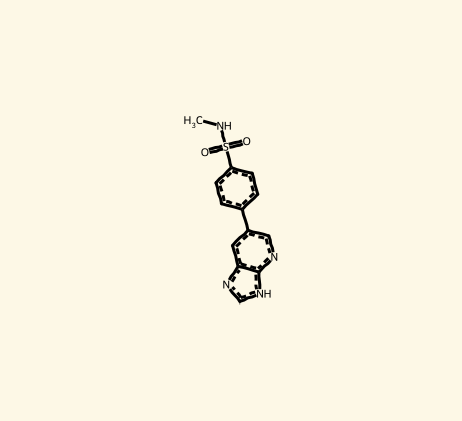 CNS(=O)(=O)c1ccc(-c2cnc3[nH][c]nc3c2)cc1